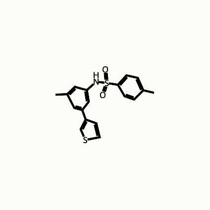 Cc1ccc(S(=O)(=O)Nc2cc(C)cc(-c3ccsc3)c2)cc1